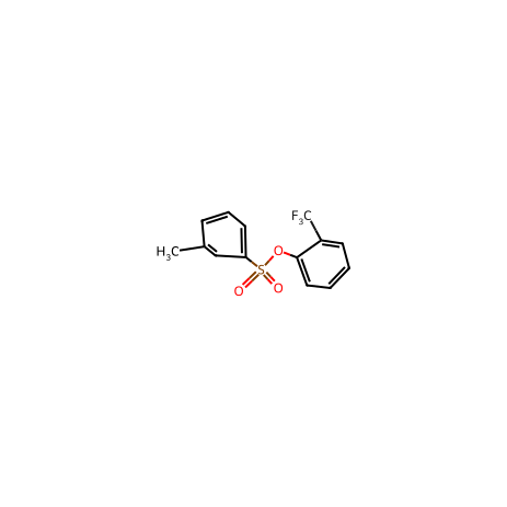 Cc1cccc(S(=O)(=O)Oc2ccccc2C(F)(F)F)c1